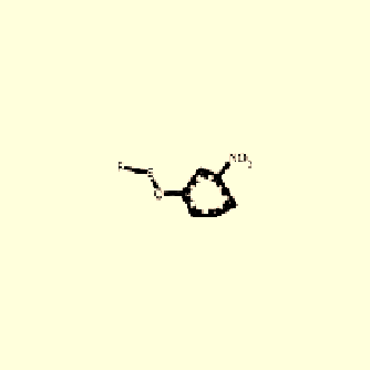 O=[N+]([O-])c1cccc(OSF)c1